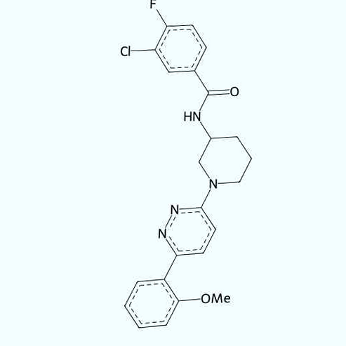 COc1ccccc1-c1ccc(N2CCCC(NC(=O)c3ccc(F)c(Cl)c3)C2)nn1